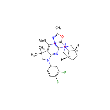 CNc1nc(NC2[C@@H]3CC[C@H]2CN(c2nnc(C)o2)C3)nc2c1C(C)(C)CN2c1ccc(F)c(F)c1